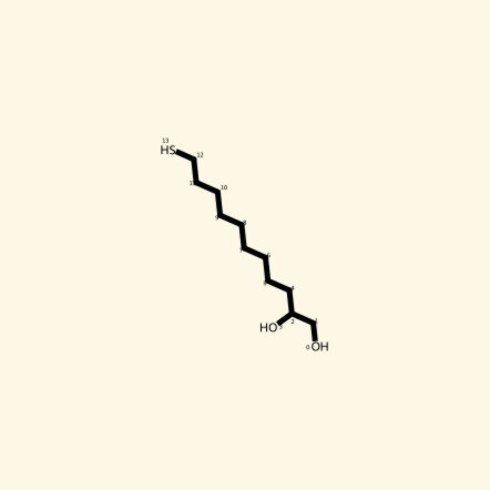 OCC(O)CCCCCCCCCS